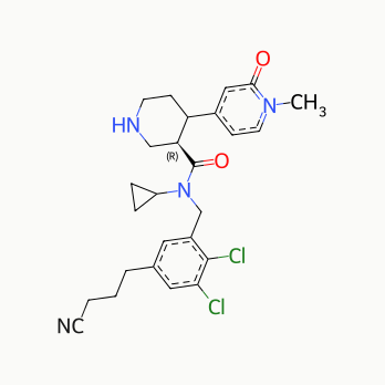 Cn1ccc(C2CCNC[C@@H]2C(=O)N(Cc2cc(CCCC#N)cc(Cl)c2Cl)C2CC2)cc1=O